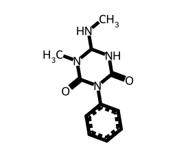 CNC1NC(=O)N(c2ccccc2)C(=O)N1C